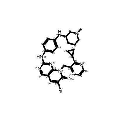 CN1CCCC(Nc2ccc(Nc3ncc4cc(Br)c(=O)n(Cc5nccnc5C5CC5)c4n3)cc2)C1